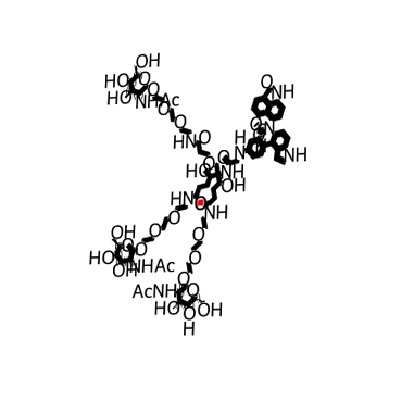 CC(=O)N[C@H]1[C@H](OCCOCCOCCNC(=O)CCC(O)C(COCCC(=O)NCCOCCOCCOC2O[C@H](CO)[C@H](O)[C@H](O)[C@H]2NC(C)=O)(NC(=O)CNc2ccc(-c3c(N(c4ccc5c6c(cccc46)C(=O)N5)[SH](=O)=O)ccc4[nH]ccc34)cc2)C(O)CCC(=O)NCCOCCOCCO[C@@H]2O[C@H](CO)[C@H](O)[C@H](O)[C@H]2NC(C)=O)O[C@H](CO)[C@H](O)[C@@H]1O